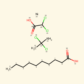 CCCCCCCCCC(=O)O.C[C]([AlH2])(Cl)Cl.O=C(O)C(Cl)Cl.[Ni]